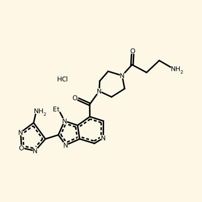 CCn1c(-c2nonc2N)nc2cncc(C(=O)N3CCN(C(=O)CCN)CC3)c21.Cl